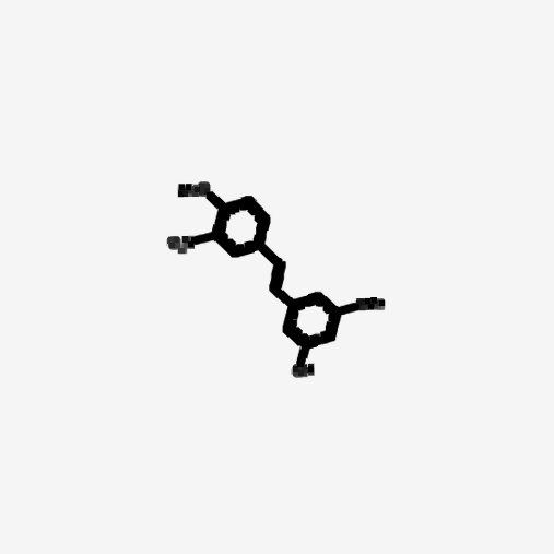 COc1cc(O)cc(C=Cc2ccc(OC)c([N+](=O)[O-])c2)c1